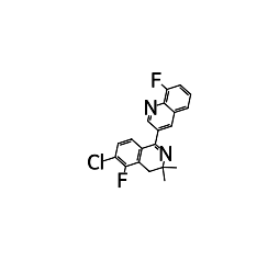 CC1(C)Cc2c(ccc(Cl)c2F)C(c2cnc3c(F)cccc3c2)=N1